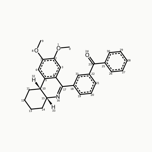 COc1cc2c(cc1OC)[C@H]1CCCC[C@H]1N=C2c1cccc(C(=O)c2ccccc2)c1